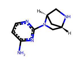 Nc1ccnc(N2C[C@@H]3C[C@@H]2CN3)n1